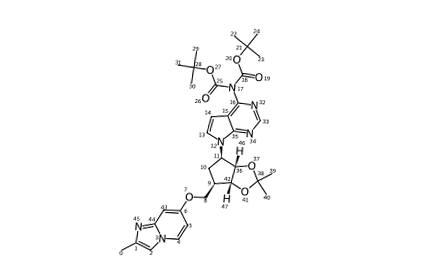 Cc1cn2ccc(OC[C@H]3C[C@@H](n4ccc5c(N(C(=O)OC(C)(C)C)C(=O)OC(C)(C)C)ncnc54)[C@@H]4OC(C)(C)O[C@H]34)cc2n1